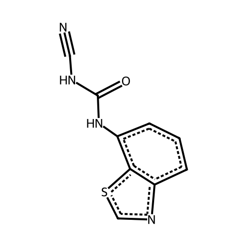 N#CNC(=O)Nc1cccc2ncsc12